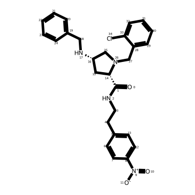 O=C(NCCc1ccc([N+](=O)[O-])cc1)[C@@H]1C[C@H](NCc2ccccc2)CN1Cc1ccccc1Cl